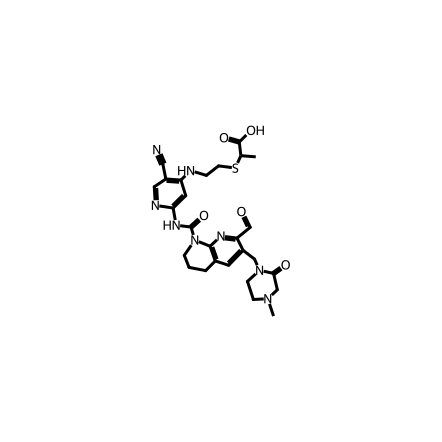 CC(SCCNc1cc(NC(=O)N2CCCc3cc(CN4CCN(C)CC4=O)c(C=O)nc32)ncc1C#N)C(=O)O